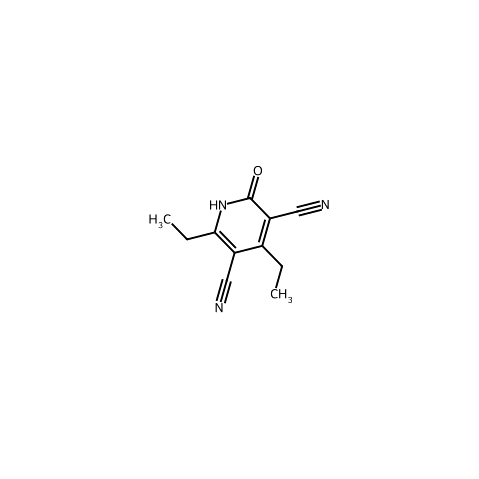 CCc1[nH]c(=O)c(C#N)c(CC)c1C#N